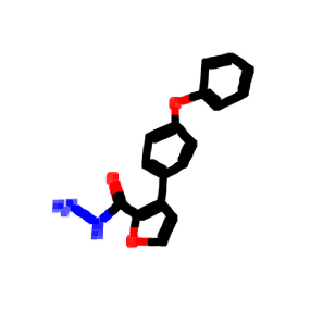 NNC(=O)c1occc1-c1ccc(Oc2ccccc2)cc1